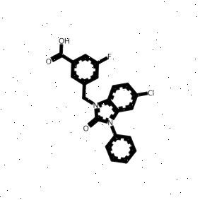 O=C(O)c1cc(F)cc(Cn2c(=O)n(-c3ccccc3)c3cc(Cl)ccc32)c1